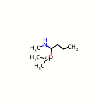 CCCC(NC)O[SiH](C)C